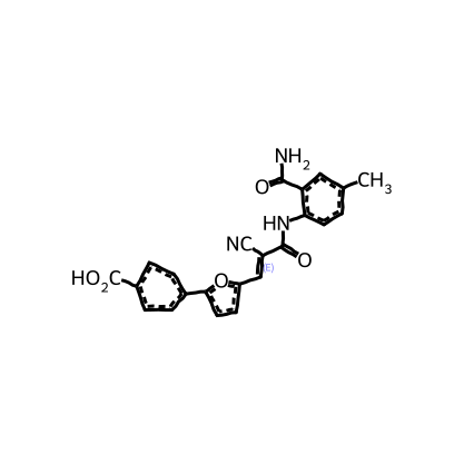 Cc1ccc(NC(=O)/C(C#N)=C/c2ccc(-c3ccc(C(=O)O)cc3)o2)c(C(N)=O)c1